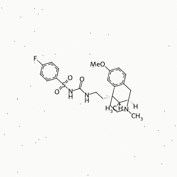 COc1ccc2c(c1)[C@]1(CCNC(=O)NS(=O)(=O)c3ccc(F)cc3)CCN(C)[C@H](C2)[C@@H]1C